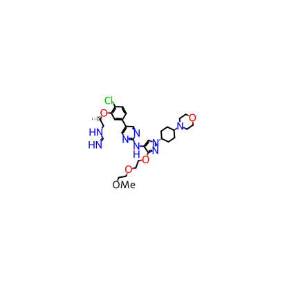 COCCOCCOc1nn([C@H]2CC[C@H](N3CCOCC3)CC2)cc1Nc1ncc(-c2ccc(Cl)c(O[C@@H](C)CNC=N)c2)cn1